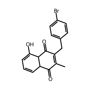 CC1=C(Cc2ccc(Br)cc2)C(=O)C2C(O)=CC=CC2C1=O